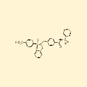 O=C(O)c1ccc(S(=O)(=O)N(Cc2ccc(C(=O)NC3(c4ccccc4)CC3)cc2)Cc2ccccn2)cc1